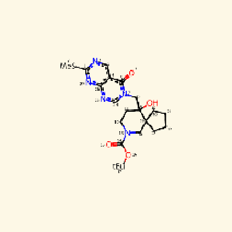 CSc1ncc2c(=O)n(CC3(O)CCN(C(=O)OC(C)(C)C)CC34CCCC4)cnc2n1